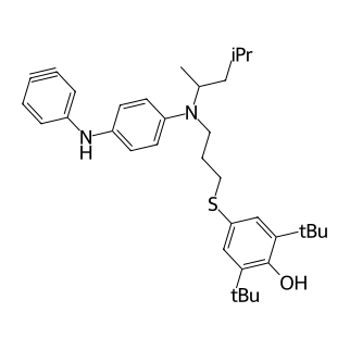 CC(C)CC(C)N(CCCSc1cc(C(C)(C)C)c(O)c(C(C)(C)C)c1)c1ccc(Nc2cc#ccc2)cc1